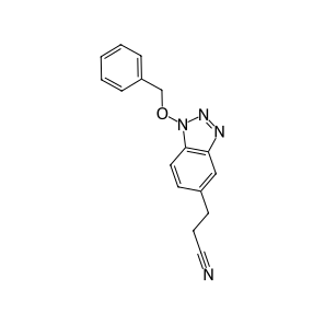 N#CCCc1ccc2c(c1)nnn2OCc1ccccc1